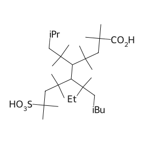 CCC(C)CC(C)(CC)C(C(C(C)(C)CC(C)C)C(C)(C)CC(C)(C)C(=O)O)C(C)(C)CC(C)(C)S(=O)(=O)O